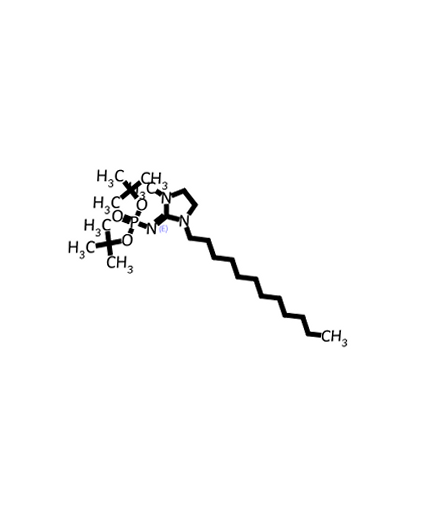 CCCCCCCCCCCCN1CCN(C)/C1=N\P(=O)(OC(C)(C)C)OC(C)(C)C